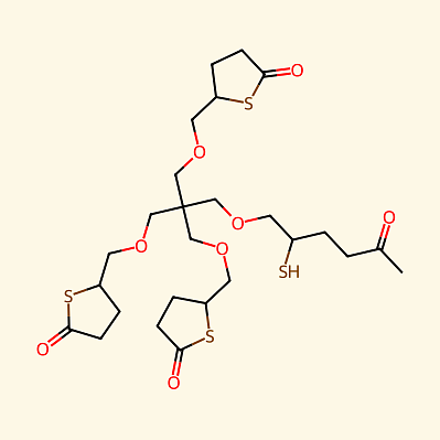 CC(=O)CCC(S)COCC(COCC1CCC(=O)S1)(COCC1CCC(=O)S1)COCC1CCC(=O)S1